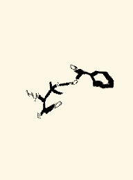 CCC(=O)C(N)C(C)(C)OOC(=O)c1ccccc1